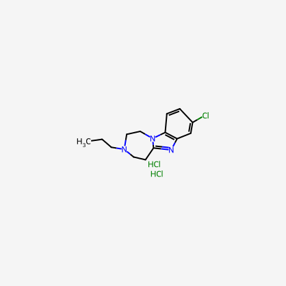 CCCN1CCc2nc3cc(Cl)ccc3n2CC1.Cl.Cl